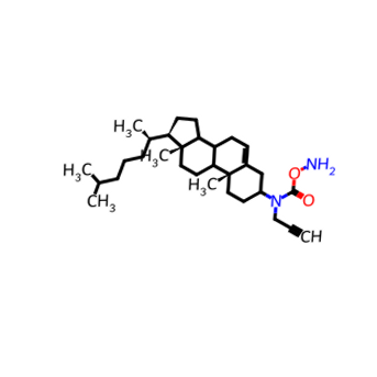 C#CCN(C(=O)ON)C1CC[C@@]2(C)C(=CCC3C2CC[C@@]2(C)C3CC[C@@H]2[C@H](C)CCCC(C)C)C1